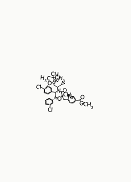 COC(=O)c1ccc(C[C@@]2(C)O[C@H](c3cccc(Cl)c3)C(c3ccc(Cl)cc3)N(C(CS(=O)(=O)C(C)(C)C)C3CC3)C2=O)nc1